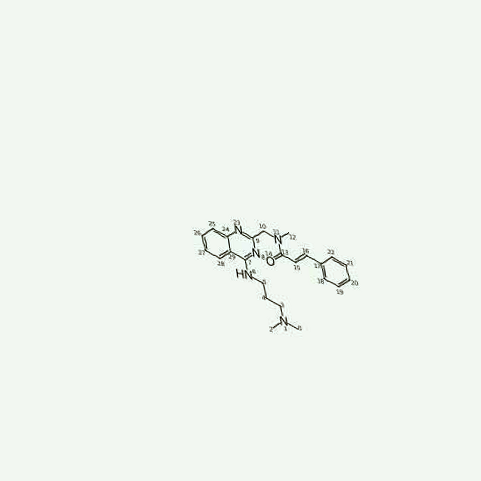 CN(C)CCCNc1nc(CN(C)C(=O)/C=C/c2ccccc2)nc2ccccc12